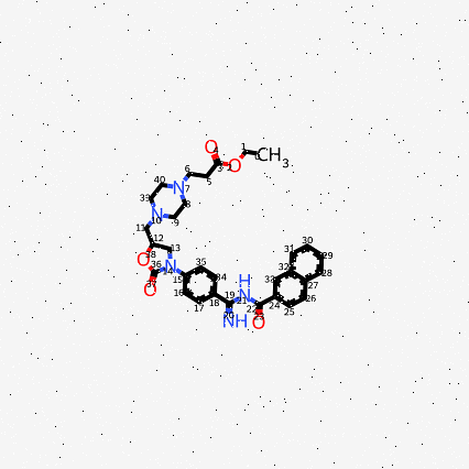 CCOC(=O)CCN1CCN(CC2CN(c3ccc(C(=N)NC(=O)c4ccc5ccccc5c4)cc3)C(=O)O2)CC1